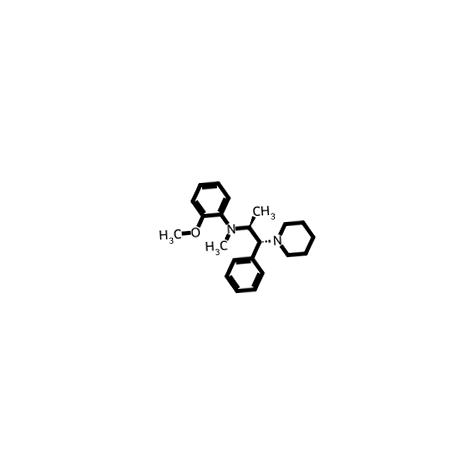 COc1ccccc1N(C)[C@@H](C)[C@@H](c1ccccc1)N1CCCCC1